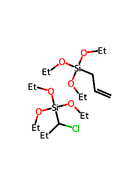 C=CC[Si](OCC)(OCC)OCC.CCO[Si](OCC)(OCC)C(Cl)CC